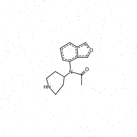 CC(=O)N(c1cccc2cocc12)C1CCNCC1